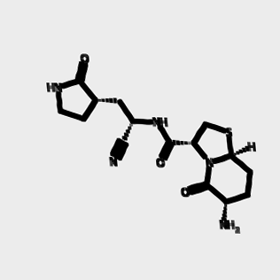 N#C[C@H](C[C@@H]1CCNC1=O)NC(=O)[C@@H]1CS[C@H]2CC[C@H](N)C(=O)N21